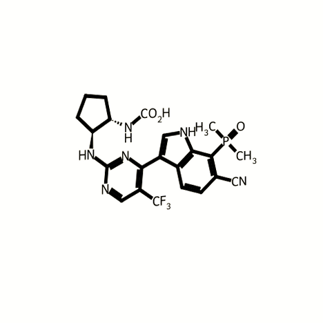 CP(C)(=O)c1c(C#N)ccc2c(-c3nc(N[C@H]4CCC[C@@H]4NC(=O)O)ncc3C(F)(F)F)c[nH]c12